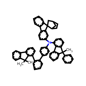 CC1(C)c2ccccc2-c2cccc(-c3ccccc3-c3ccc(N(c4ccc5c(c4)C4(CC6CCC4C6)c4ccccc4-5)c4cccc5c4-c4ccccc4C5(C)c4ccccc4)cc3)c21